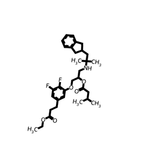 CCOC(=O)CCc1cc(F)c(F)c(OCC(CNC(C)(C)CC2Cc3ccccc3C2)OC(=O)CC(C)C)c1